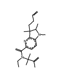 C=CCCC1(C)c2nc(C(=C)N(CC)C(C)(C)C(=C)C)ccc2N(C)C1C